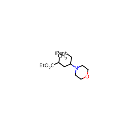 CCCC(C)CC(CC(C)C(=O)OCC)N1CCOCC1